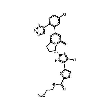 COCCNC(=O)c1ccc(-c2[nH]c([C@@H]3CCc4cc(-c5cc(Cl)ccc5-n5cnnn5)cc(=O)n43)nc2Cl)s1